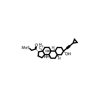 CSCC(=O)[C@H]1CC[C@H]2[C@@H]3CC[C@H]4C[C@](O)(C#CC5CC5)CC[C@@H]4[C@H]3CC[C@]12C